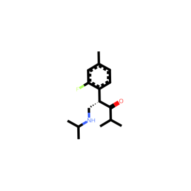 Cc1ccc([C@@H](CNC(C)C)C(=O)C(C)C)c(F)c1